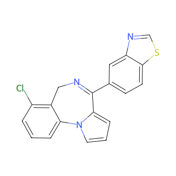 Clc1cccc2c1CN=C(c1ccc3scnc3c1)c1cccn1-2